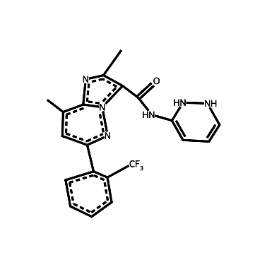 Cc1nc2c(C)cc(-c3ccccc3C(F)(F)F)nn2c1C(=O)NC1=CC=CNN1